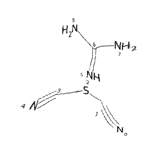 N#CSC#N.N=C(N)N